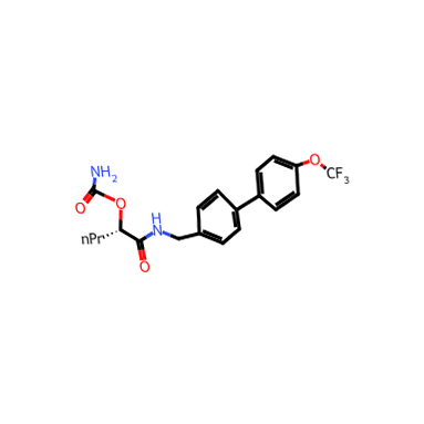 CCC[C@H](OC(N)=O)C(=O)NCc1ccc(-c2ccc(OC(F)(F)F)cc2)cc1